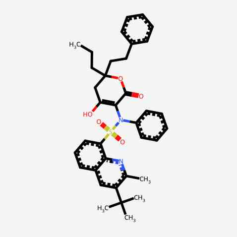 CCCC1(CCc2ccccc2)CC(O)=C(N(c2ccccc2)S(=O)(=O)c2cccc3cc(C(C)(C)C)c(C)nc23)C(=O)O1